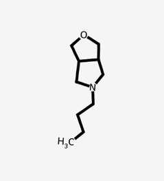 CCCCN1CC2COCC2C1